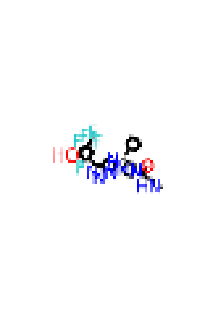 CNCCC(=O)N1CCN(c2ncc3c(-c4cc(C(F)(F)F)c(F)c(O)c4F)nn(C)c3n2)[C@H](Cc2ccccc2)C1